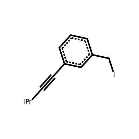 CC(C)C#Cc1cccc(CI)c1